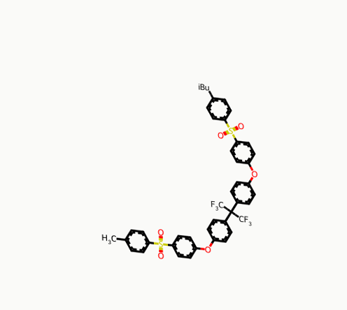 CCC(C)c1ccc(S(=O)(=O)c2ccc(Oc3ccc(C(c4ccc(Oc5ccc(S(=O)(=O)c6ccc(C)cc6)cc5)cc4)(C(F)(F)F)C(F)(F)F)cc3)cc2)cc1